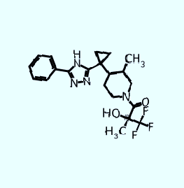 CC1CN(C(=O)[C@@](C)(O)C(F)(F)F)CCC1C1(c2nnc(-c3ccccc3)[nH]2)CC1